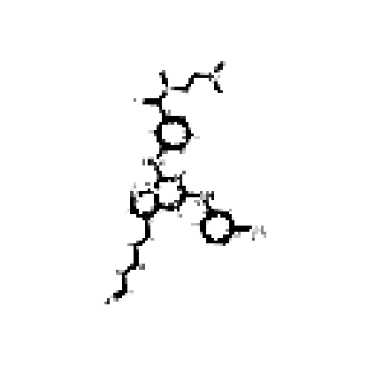 CN(C)CCN(C)C(=O)c1cccc(Nc2nc(Nc3cccc(N)c3)nc3c(CCCCC=O)cnn23)c1